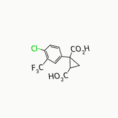 O=C(O)C1CC1(C(=O)O)c1ccc(Cl)c(C(F)(F)F)c1